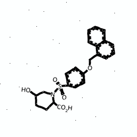 O=C(O)C1CCC(O)CN1S(=O)(=O)c1ccc(OCc2cccc3ccccc23)cc1